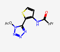 CCCC(=O)Nc1ccsc1-c1nnnn1OC(C)=O